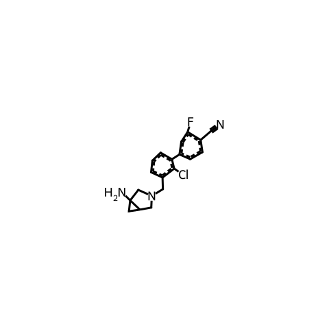 N#Cc1ccc(-c2cccc(CN3CC4CC4(N)C3)c2Cl)cc1F